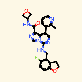 Cc1ncccc1-c1cnc(NCc2c(F)ccc3c2CCO3)n2cnc(C(=O)NC3COC3)c12